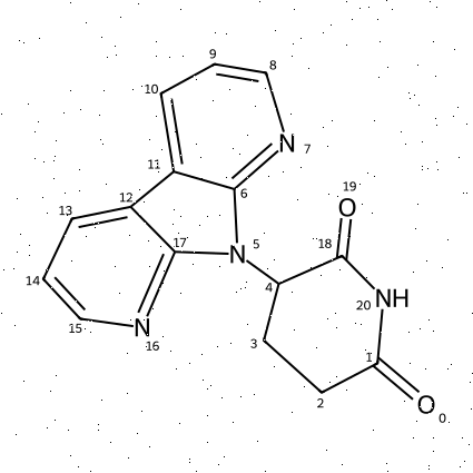 O=C1CCC(n2c3ncccc3c3cccnc32)C(=O)N1